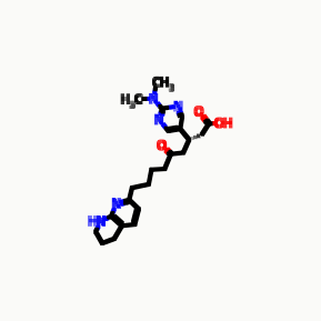 CN(C)c1ncc([C@H](CC(=O)O)CC(=O)CCCCc2ccc3c(n2)NCCC3)cn1